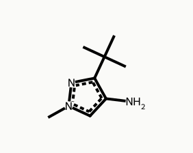 Cn1cc(N)c(C(C)(C)C)n1